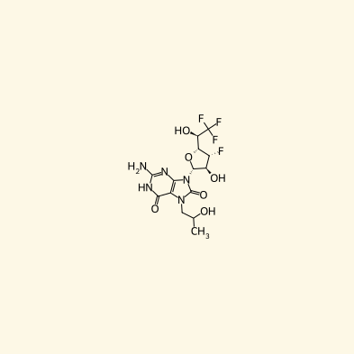 CC(O)Cn1c(=O)n([C@@H]2O[C@H]([C@@H](O)C(F)(F)F)[C@H](F)[C@H]2O)c2nc(N)[nH]c(=O)c21